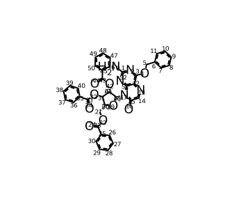 Nc1nc(OCc2ccccc2)c2ncc(=O)n([C@@H]3O[C@H](COC(=O)c4ccccc4)C(OC(=O)c4ccccc4)[C@@H]3OC(=O)c3ccccc3)c2n1